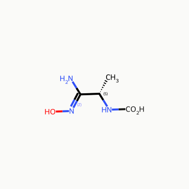 C[C@H](NC(=O)O)/C(N)=N/O